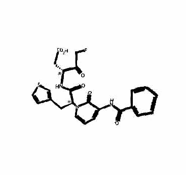 O=C(O)C[C@@H](NC(=O)[C@H](Cc1ccsc1)n1cccc(NC(=O)c2ccccc2)c1=O)C(=O)CF